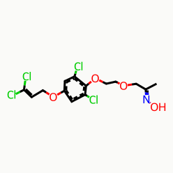 CC(COCCOc1c(Cl)cc(OCC=C(Cl)Cl)cc1Cl)=NO